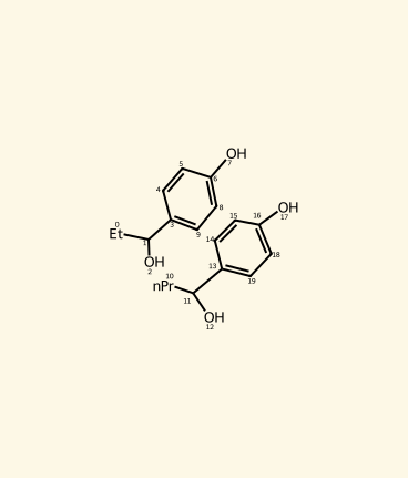 CCC(O)c1ccc(O)cc1.CCCC(O)c1ccc(O)cc1